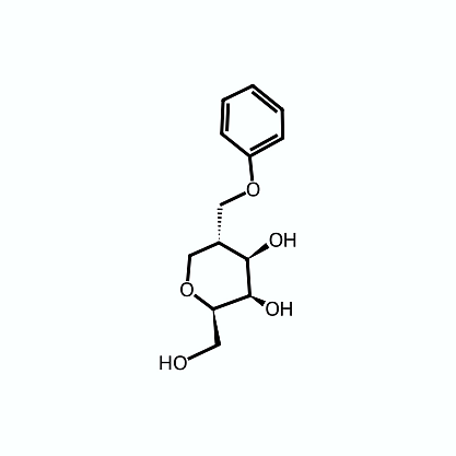 OC[C@H]1OC[C@H](COc2ccccc2)[C@@H](O)[C@H]1O